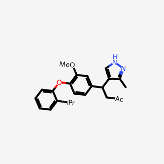 COc1cc(C(CC(C)=O)c2c[nH]nc2C)ccc1Oc1ccccc1C(C)C